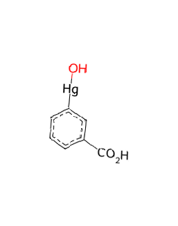 O=C(O)c1ccc[c]([Hg][OH])c1